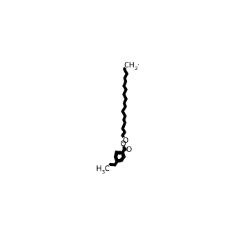 [CH2]CCCCCCCCCCCCCCCCCOOC(=O)c1ccc(CCC)cc1